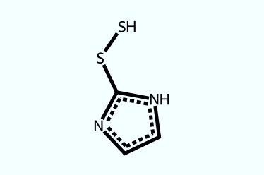 SSc1ncc[nH]1